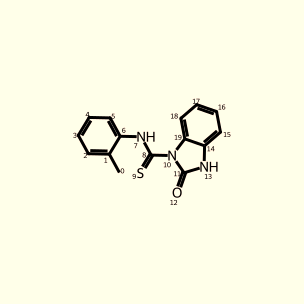 Cc1ccccc1NC(=S)n1c(=O)[nH]c2ccccc21